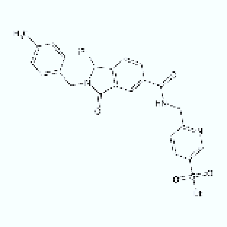 CCS(=O)(=O)c1ccc(CNC(=O)c2ccc3c(c2)C(=O)N(Cc2ccc(C)cc2)C3C(C)C)nc1